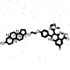 Cn1ncnc1C1c2n[nH]c(=O)c3cc(F)cc(c23)NC1c1ccc(OCCO[C@H]2CC[C@H]3[C@@H]4CC[C@H]5CC(O)CC[C@]5(C)[C@H]4CC[C@]23C)cc1